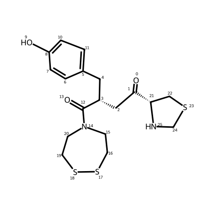 O=C(C[C@@H](Cc1ccc(O)cc1)C(=O)N1CCSSCC1)[C@@H]1CSCN1